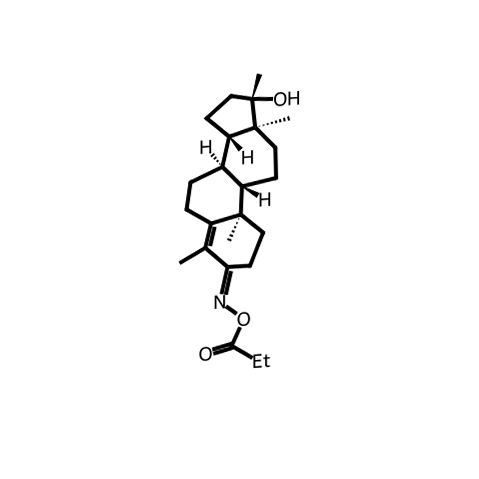 CCC(=O)O/N=C1\CC[C@@]2(C)C(=C1C)CC[C@@H]1[C@@H]2CC[C@@]2(C)[C@H]1CC[C@]2(C)O